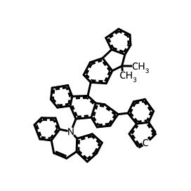 CC1(C)c2ccccc2-c2ccc(-c3c4ccccc4c(N4c5ccccc5C=Cc5ccccc54)c4ccc(-c5cccc6ccccc56)cc34)cc21